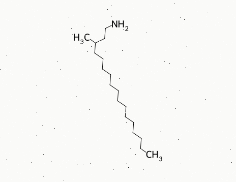 CCCCCCCCCCCCCCC(C)CCN